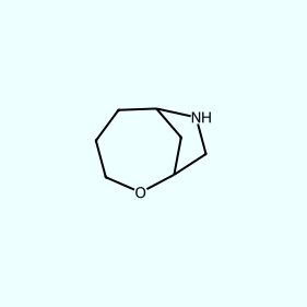 C1COC2CNC(C1)C2